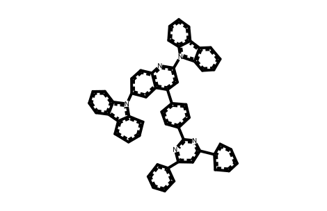 c1ccc(-c2cc(-c3ccccc3)nc(-c3ccc(-c4cc(-n5c6ccccc6c6ccccc65)nc5ccc(-n6c7ccccc7c7ccccc76)cc45)cc3)n2)cc1